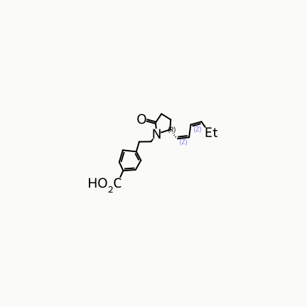 CC/C=C\C=C/[C@H]1CCC(=O)N1CCc1ccc(C(=O)O)cc1